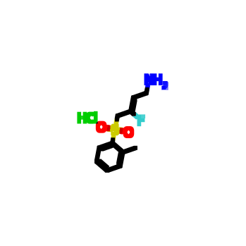 Cc1ccccc1S(=O)(=O)C/C(F)=C/CN.Cl